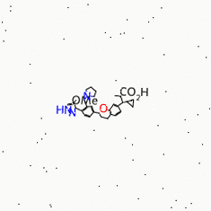 COc1c[nH]nc1-c1ccc(C2CCc3ccc([C@H](C4CC4)[C@H](C)C(=O)O)cc3O2)cc1CN1CCCC1